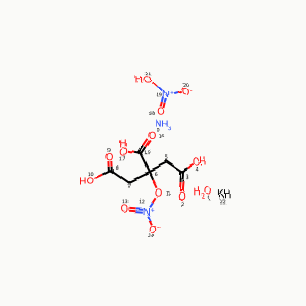 N.O.O=C(O)CC(CC(=O)O)(O[N+](=O)[O-])C(=O)O.O=[N+]([O-])O.[KH]